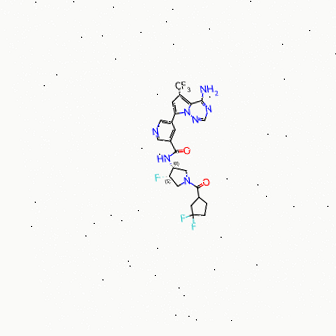 Nc1ncnn2c(-c3cncc(C(=O)N[C@@H]4CN(C(=O)C5CCC(F)(F)C5)C[C@@H]4F)c3)cc(C(F)(F)F)c12